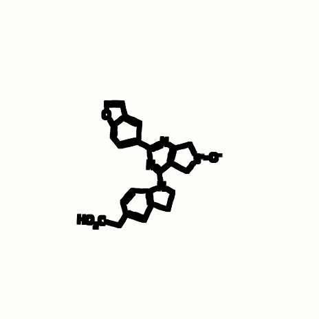 O=C(O)Cc1ccc2c(c1)CCN2c1nc(-c2ccc3occc3c2)nc2c1C[S+]([O-])C2